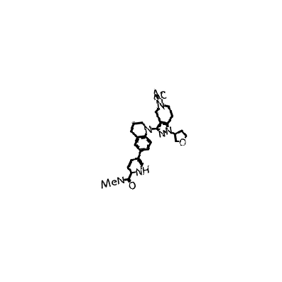 CNC(=O)C1C=CC(c2ccc3c(c2)CCCN3c2nn(C3CCOC3)c3c2CN(C(C)=O)CC3)=CN1